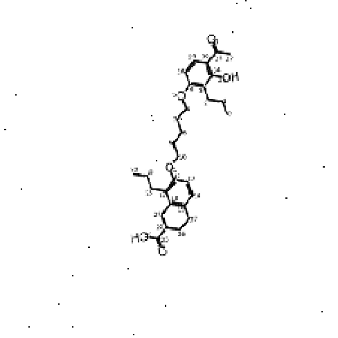 CCCc1c(OCCCCCOc2ccc3c(c2CCC)CC(C(=O)O)CC3)ccc(C(C)=O)c1O